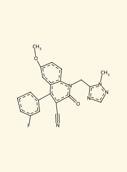 COc1ccc2c(c1)c(-c1cccc(F)c1)c(C#N)c(=O)n2Cc1ncnn1C